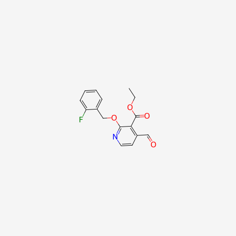 CCOC(=O)c1c(C=O)ccnc1OCc1ccccc1F